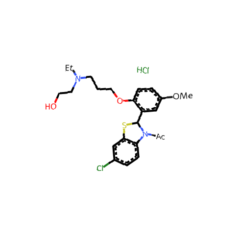 CCN(CCO)CCCOc1ccc(OC)cc1C1Sc2cc(Cl)ccc2N1C(C)=O.Cl